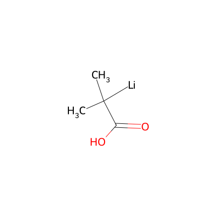 [Li][C](C)(C)C(=O)O